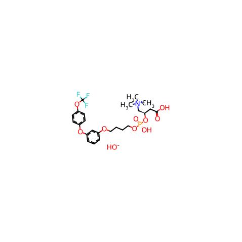 C[N+](C)(C)C[C@@H](CC(=O)O)OP(=O)(O)OCCCCOc1cccc(Oc2ccc(OC(F)(F)F)cc2)c1.[OH-]